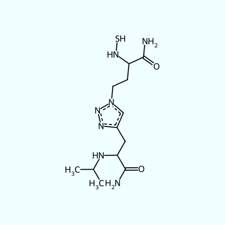 CC(C)NC(Cc1cn(CCC(NS)C(N)=O)nn1)C(N)=O